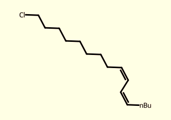 CCCC/C=C\C=C/CCCCCCCCCl